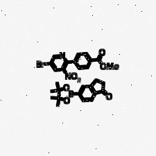 CC1(C)OB(c2ccc3c(c2)CCC3=O)OC1(C)C.COC(=O)c1ccc(-c2ncc(Br)cc2[N+](=O)[O-])cc1